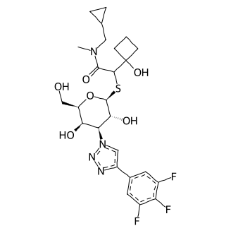 CN(CC1CC1)C(=O)C(S[C@@H]1O[C@H](CO)[C@H](O)[C@H](n2cc(-c3cc(F)c(F)c(F)c3)nn2)[C@H]1O)C1(O)CCC1